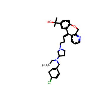 CC(C)(O)c1ccc2c(c1)/C(=C/CCN1CCC(N(CC(=O)O)CC3=CCC(Cl)C=C3)C1)c1cccnc1CO2